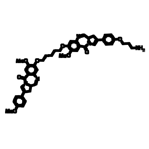 COc1ccc(C2=CN3C(=O)c4cc(OC)c(OCCCCCOc5cc6c(cc5OC)C(=O)N5C=C(c7ccc(OCCCN)cc7)CC5C=N6)cc4N=CC3C2)cc1